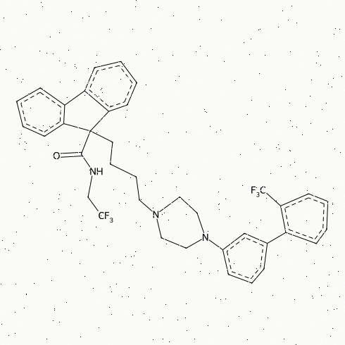 O=C(NCC(F)(F)F)C1(CCCCN2CCN(c3cccc(-c4ccccc4C(F)(F)F)c3)CC2)c2ccccc2-c2ccccc21